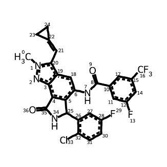 Cn1nc2c3c(c(NC(=O)c4cc(F)cc(C(F)(F)F)c4)cc2c1C=C1CC1)C(c1cc(F)ccc1Cl)NC3=O